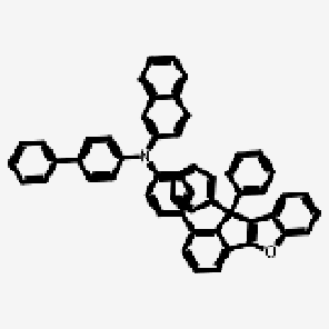 c1ccc(-c2ccc(N(c3ccc(-c4cccc5c4C(c4ccccc4)(c4ccccc4)c4c-5oc5ccccc45)cc3)c3ccc4ccccc4c3)cc2)cc1